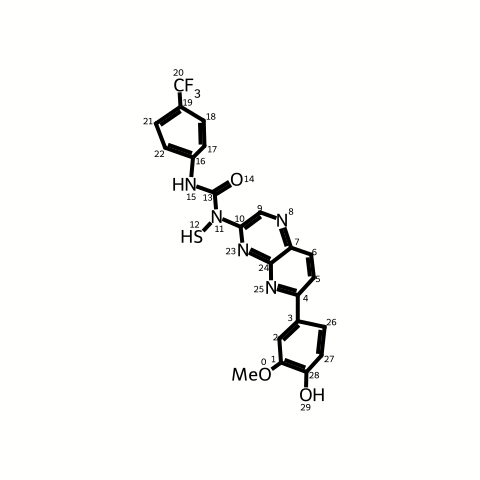 COc1cc(-c2ccc3ncc(N(S)C(=O)Nc4ccc(C(F)(F)F)cc4)nc3n2)ccc1O